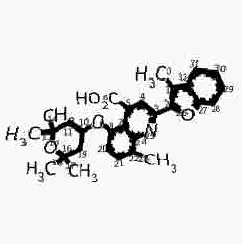 Cc1c(-c2cc(C(=O)O)c3c(OC4CC(C)(C)OC(C)(C)C4)ccc(C)c3n2)oc2ccccc12